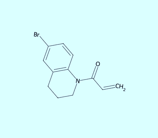 C=CC(=O)N1CCCc2cc(Br)ccc21